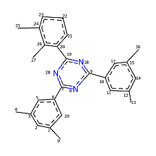 Cc1cc(C)cc(-c2nc(-c3cc(C)cc(C)c3)nc(-c3cccc(C)c3C)n2)c1